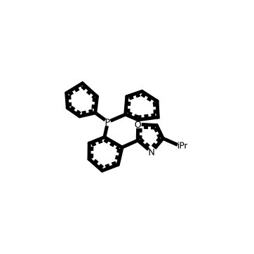 CC(C)c1coc(-c2ccccc2P(c2ccccc2)c2ccccc2)n1